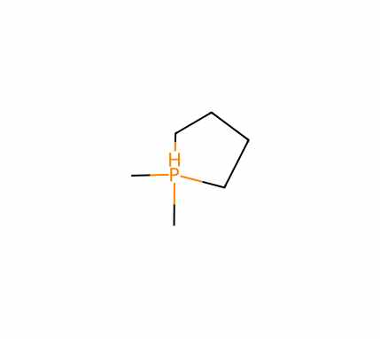 C[PH]1(C)CCCC1